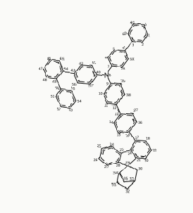 c1ccc(-c2ccc(N(c3ccc(-c4ccc(-c5cccc6c5-c5ccccc5C65CC6CCC5C6)cc4)cc3)c3ccc(-c4ccccc4-c4ccccc4)cc3)cc2)cc1